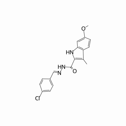 COc1ccc2c(C)c(C(=O)NN=Cc3ccc(Cl)cc3)[nH]c2c1